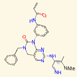 C=CC(=O)Nc1cccc(N2C(=O)N(Cc3ccccc3)Cc3cnc(N/C(C=N)=C(\C)NC)nc32)c1